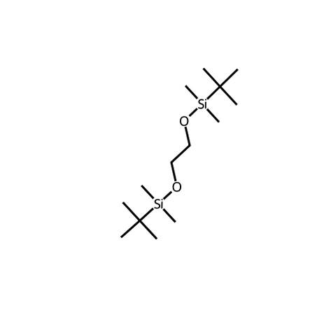 CC(C)(C)[Si](C)(C)OCCO[Si](C)(C)C(C)(C)C